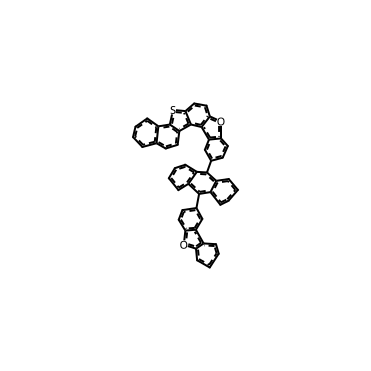 c1ccc2c(c1)ccc1c2sc2ccc3oc4ccc(-c5c6ccccc6c(-c6ccc7oc8ccccc8c7c6)c6ccccc56)cc4c3c21